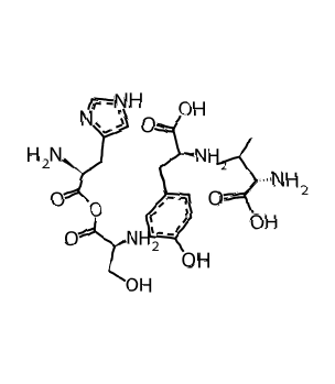 CC(C)[C@H](N)C(=O)O.N[C@@H](CO)C(=O)OC(=O)[C@@H](N)Cc1c[nH]cn1.N[C@@H](Cc1ccc(O)cc1)C(=O)O